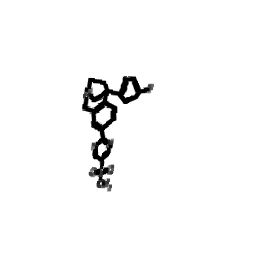 CS(=O)(=O)c1cnc(-c2ccc3c(c2)CN2CCC3(c3ccc(F)cc3)CC2)nc1